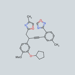 COc1ccc(C(C#Cc2cc(C)ccc2-c2ncon2)Cc2nc(C)co2)cc1OC1CCCC1